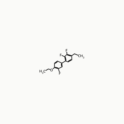 CCOc1ccc(-c2ccc(CC)c(F)c2F)cc1F